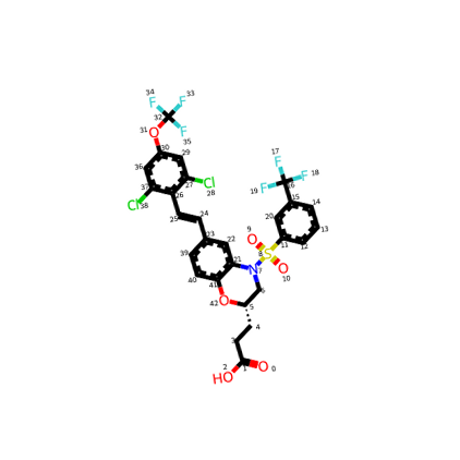 O=C(O)CC[C@H]1CN(S(=O)(=O)c2cccc(C(F)(F)F)c2)c2cc(/C=C/c3c(Cl)cc(OC(F)(F)F)cc3Cl)ccc2O1